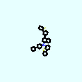 c1ccc(-c2ccc(N(c3ccc(-c4ccc5sc6ccccc6c5c4)c4ccccc34)c3cccc4c3sc3ccccc34)cc2)cc1